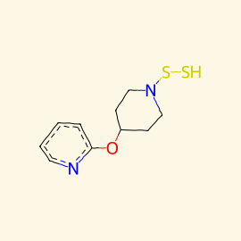 SSN1CCC(Oc2ccccn2)CC1